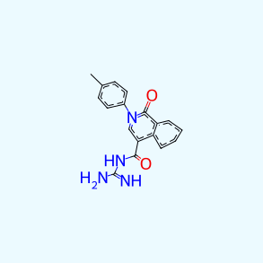 Cc1ccc(-n2cc(C(=O)NC(=N)N)c3ccccc3c2=O)cc1